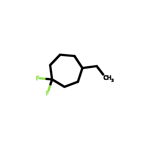 CCC1CCCC(F)(F)CC1